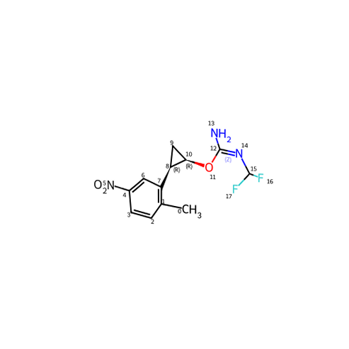 Cc1ccc([N+](=O)[O-])cc1[C@H]1C[C@H]1O/C(N)=N\C(F)F